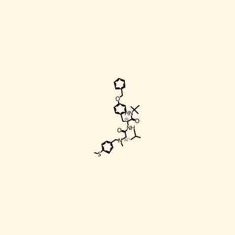 CSc1ccc(CN(C)[C@@H](CC(C)C)C(=O)N[C@@H](Cc2ccc(OCc3ccccc3)cc2)C(=O)NC(C)(C)C)cc1